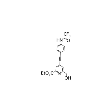 CCOC(=O)c1cc(C#Cc2ccc(NC(=O)C(F)(F)F)cc2)cc(CO)n1